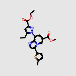 CCOC(=O)c1cc(CC)n(-c2cc(C(=O)OC)cn3c(-c4ccc(C)s4)cnc23)n1